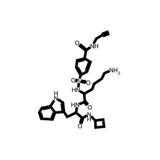 C#CCNC(=O)c1ccc(S(=O)(=O)NC(CCCCN)C(=O)NC(Cc2c[nH]c3ccccc23)C(=O)NC2CCC2)cc1